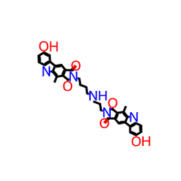 Cc1c2c(cc3c4cc(O)ccc4n(C)c13)C(=O)N(CCCCNCCCN1C(=O)c3cc4c5cc(O)ccc5n(C)c4c(C)c3C1=O)C2=O